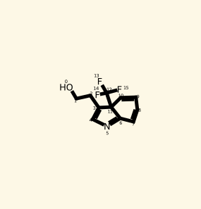 OCCC1=CN=C2C=CC=CC12C(F)(F)F